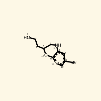 OCCC1CNc2cc(Br)cnc2O1